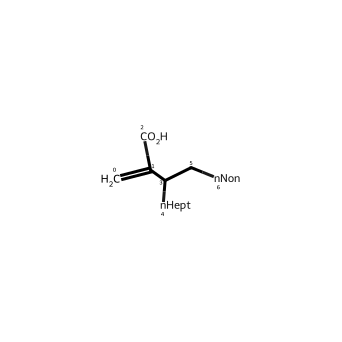 C=C(C(=O)O)C(CCCCCCC)CCCCCCCCCC